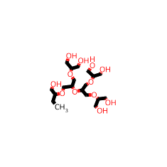 CCC(CO)OCC(COC(CO)CO)OC(COC(CO)CO)COC(CO)CO